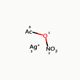 CC(=O)O[N+](=O)[O-].[Ag+]